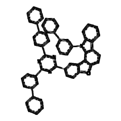 c1ccc(-c2ccc(-c3nc(-c4cccc(-c5ccccc5)c4)nc(-c4ccc5oc6ccc7c8ccccc8n(-c8cccc(-c9ccccc9)c8)c7c6c5c4)n3)cc2)cc1